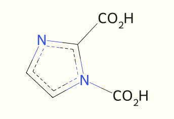 O=C(O)c1nccn1C(=O)O